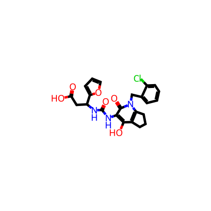 O=C(O)CC(NC(=O)Nc1c(O)c2c(n(Cc3ccccc3Cl)c1=O)CCC2)c1ccco1